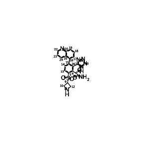 NS(=O)(=O)c1c(S(=O)(=O)C2CNC2)ccc(-c2cccc3ncccc23)c1-c1nnn[nH]1